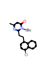 Cc1cc(=O)n(C(C)(C)C)c(CCc2ccc(Cl)c3ccccc23)n1